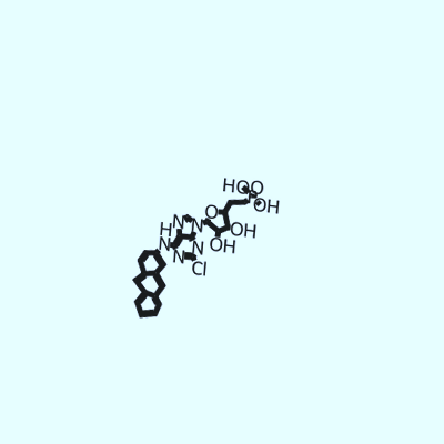 O=P(O)(O)CCC1OC(n2cnc3c(Nc4ccc5cc6ccccc6cc5c4)nc(Cl)nc32)C(O)C1O